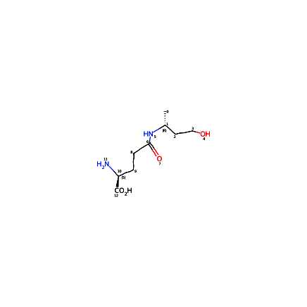 C[C@H](CCO)NC(=O)CC[C@H](N)C(=O)O